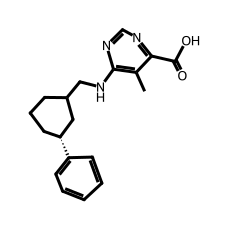 Cc1c(NCC2CCC[C@@H](c3ccccc3)C2)ncnc1C(=O)O